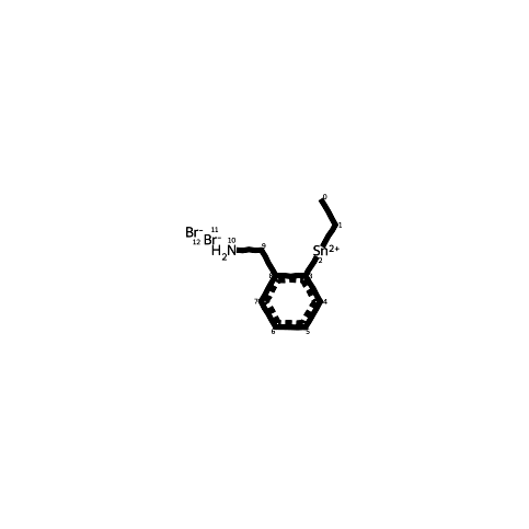 C[CH2][Sn+2][c]1ccccc1CN.[Br-].[Br-]